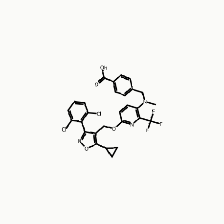 CN(Cc1ccc(C(=O)O)cc1)c1ccc(OCc2c(-c3c(Cl)cccc3Cl)noc2C2CC2)nc1C(F)(F)F